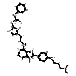 CN(C)CCCOc1ccc(-c2nc3c(NCCc4cnc(NC(=O)Nc5ccccc5)s4)ncnc3[nH]2)cc1